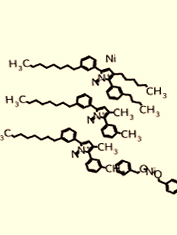 CCCCCCCCc1cccc(C2=CC(C)=C(c3cccc(C)c3)[N+]2=[N-])c1.CCCCCCCCc1cccc(C2=CC(C)=C(c3cccc(C)c3)[N+]2=[N-])c1.CCCCCCCCc1cccc(C2=CC(CCCCCC)=C(c3cccc(CCCC)c3)[N+]2=[N-])c1.[Ni].c1ccc(C[O][Ni][O]Cc2ccccc2)cc1